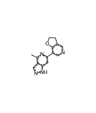 Cc1nc(-c2cncc3c2OCC3)cc2[nH]ncc12